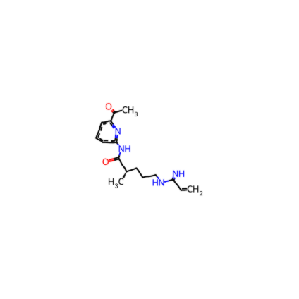 C=CC(=N)NCCC[C@@H](C)C(=O)Nc1cccc(C(C)=O)n1